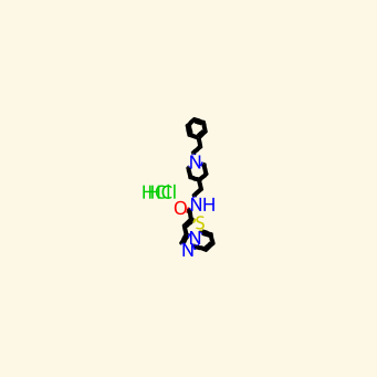 Cl.Cl.O=C(NCCC1CCN(CCc2ccccc2)CC1)C1=Cc2cnc3cccc(n23)S1